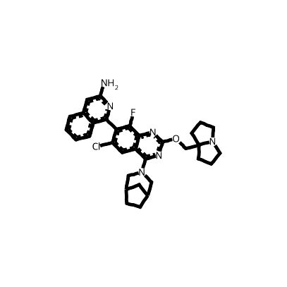 Nc1cc2ccccc2c(-c2c(Cl)cc3c(N4CC5CCC(C5)C4)nc(OCC45CCCN4CCC5)nc3c2F)n1